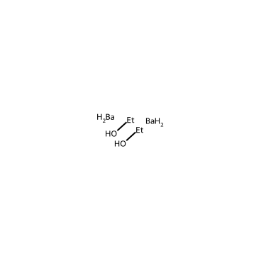 CCO.CCO.[BaH2].[BaH2]